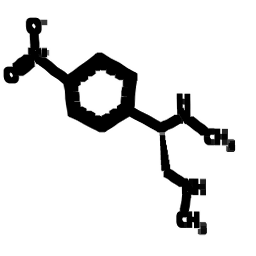 CNC[C@@H](NC)c1ccc([N+](=O)[O-])cc1